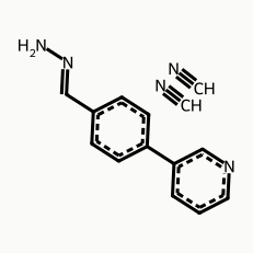 C#N.C#N.NN=Cc1ccc(-c2cccnc2)cc1